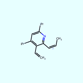 C=Cc1c(C(C)C)cc(C(C)C)nc1/C=C\C